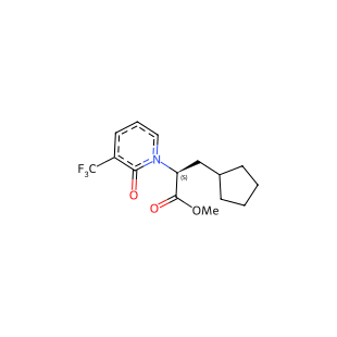 COC(=O)[C@H](CC1CCCC1)n1cccc(C(F)(F)F)c1=O